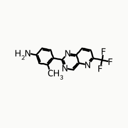 Cc1cc(N)ccc1-c1ncc2nc(C(F)(F)F)ccc2n1